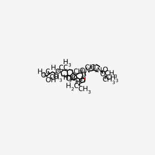 C=C(C)[C@@H]1CC[C@]2(CC(=O)N(C)CC3CN(C(=O)OC(C)(C)C)CCO3)CC[C@]3(C)[C@H](CCC4[C@@]5(C)CC[C@H](OC(=O)CC(C)(C)C(=O)O)C(C)(C)C5CC[C@]43C)[C@@H]12